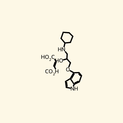 O=C(O)C=CC(=O)O.OC(CNC1CCCCC1)COc1cccc2[nH]ccc12